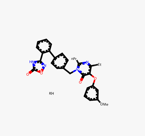 CCCc1nc(CC)c(Oc2cccc(OC)c2)c(=O)n1Cc1ccc(-c2ccccc2-c2noc(=O)[nH]2)cc1.[KH]